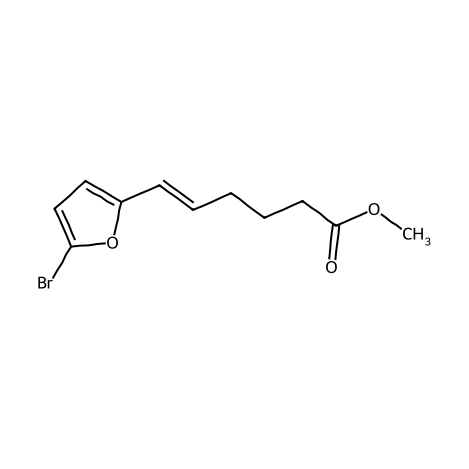 COC(=O)CCCC=Cc1ccc(Br)o1